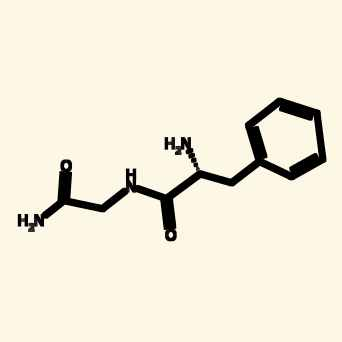 NC(=O)CNC(=O)[C@H](N)Cc1ccccc1